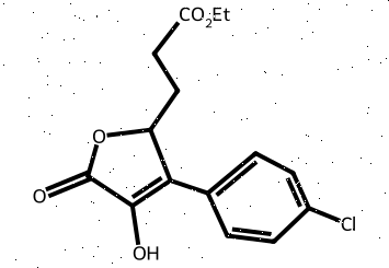 CCOC(=O)CCC1OC(=O)C(O)=C1c1ccc(Cl)cc1